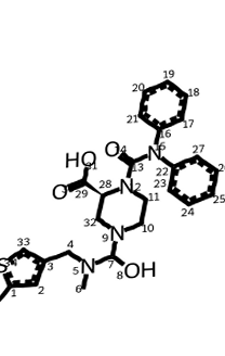 Cc1cc(CN(C)C(O)N2CCN(C(=O)N(c3ccccc3)c3ccccc3)[C@H](C(=O)O)C2)cs1